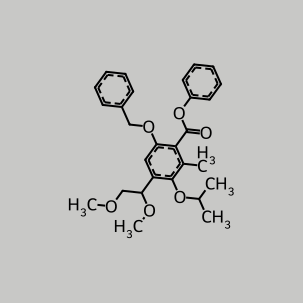 COCC(OC)c1cc(OCc2ccccc2)c(C(=O)Oc2ccccc2)c(C)c1OC(C)C